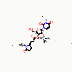 CCCCN1C(=O)CCC1=CCC(=O)OC1[C@@H](CO)O[C@@H](n2ccc(=O)[nH]c2=O)[C@H]1O[Si](C(C)C)(C(C)C)C(C)C